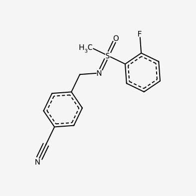 CS(=O)(=NCc1ccc(C#N)cc1)c1ccccc1F